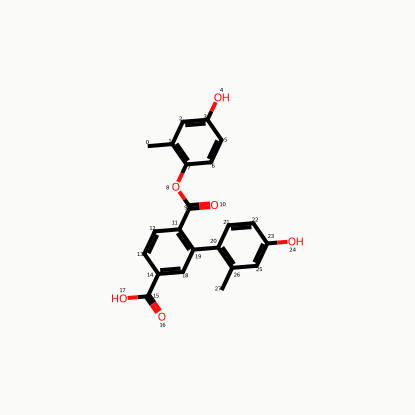 Cc1cc(O)ccc1OC(=O)c1ccc(C(=O)O)cc1-c1ccc(O)cc1C